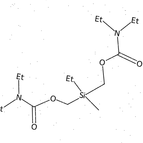 CCN(CC)C(=O)OC[Si](C)(CC)COC(=O)N(CC)CC